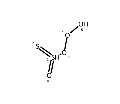 O=[SH](=S)OOO